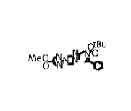 COC(=O)c1cnc(N2CCn3cc(CN(C(=O)OC(C)(C)C)C4CC4c4ccccc4)nc3C2)nc1